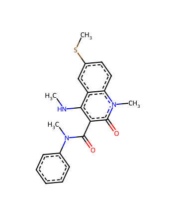 CNc1c(C(=O)N(C)c2ccccc2)c(=O)n(C)c2ccc(SC)cc12